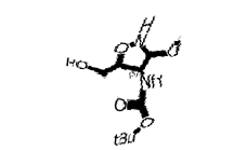 CC(C)(C)OC(=O)N[C@@H]1C(=O)NOC1CO